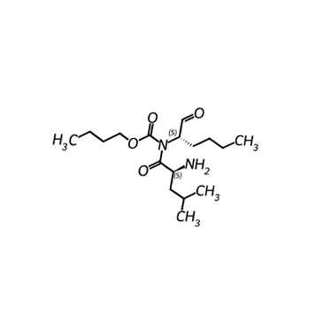 CCCCOC(=O)N(C(=O)[C@@H](N)CC(C)C)[C@H](C=O)CCCC